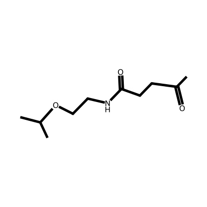 CC(=O)CCC(=O)NCCOC(C)C